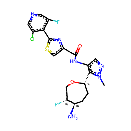 Cn1ncc(NC(=O)c2csc(-c3c(F)cncc3Cl)n2)c1[C@@H]1CC[C@@H](N)[C@H](F)CO1